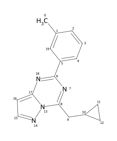 Cc1cccc(-c2nc(CC3CC3)n3nccc3n2)c1